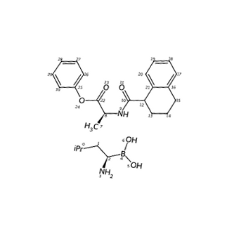 CC(C)C[C@H](N)B(O)O.C[C@H](NC(=O)C1CCCc2ccccc21)C(=O)Oc1ccccc1